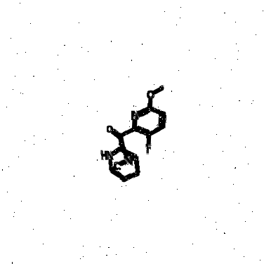 COc1ccc(F)c(C(=O)N2CC3CCC2CN3)n1